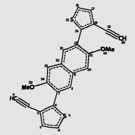 C#Cc1ccsc1-c1cc2cc(OC)c(-c3sccc3C#C)cc2cc1OC